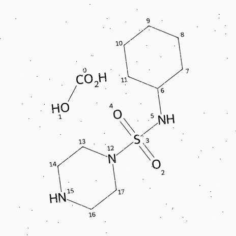 O=C(O)O.O=S(=O)(NC1CCCCC1)N1CCNCC1